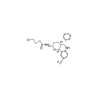 O=C(CCCCl)NC[C@H]1CC[C@@H]2[C@H](O1)c1cc(C(F)(F)F)ccc1N[C@H]2c1ccccc1